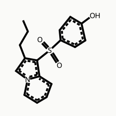 CCCc1cn2ccccc2c1S(=O)(=O)c1ccc(O)cc1